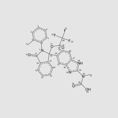 Cc1ccccc1N1C(=O)c2ccccc2C1(OC(=O)C(F)(F)F)c1ccc2[nH]c(N(C)C(=O)O)nc2c1